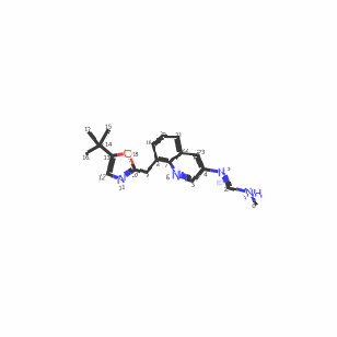 CN/C=N/c1cnc2c(Cc3ncc(C(C)(C)C)o3)cccc2c1